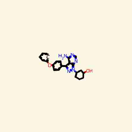 Nc1ncnc2c1c(-c1ccc(Oc3ccccc3)cc1)nn2C1CCCC(O)C1